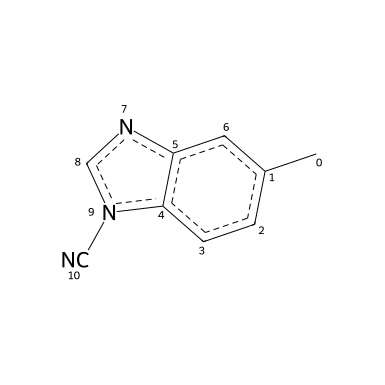 Cc1ccc2c(c1)ncn2C#N